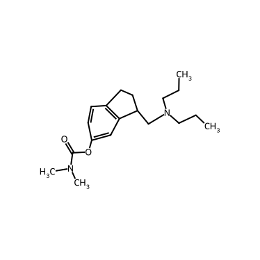 CCCN(CCC)CC1CCc2ccc(OC(=O)N(C)C)cc21